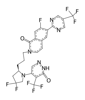 O=c1[nH]ncc(N2CC(F)(F)C[C@H]2CCCn2ccc3cc(-c4ncc(C(F)(F)F)cn4)c(F)cc3c2=O)c1C(F)(F)F